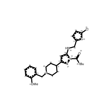 COc1ccccc1CN1CCC(c2cc(NCc3ccc(Cl)s3)n(C(=O)C(C)(C)C)n2)CC1